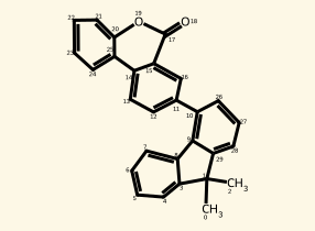 CC1(C)c2ccccc2-c2c(-c3ccc4c(c3)c(=O)oc3ccccc34)cccc21